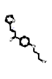 O=C(/C=C/c1ccco1)c1ccc(OCCCBr)cc1